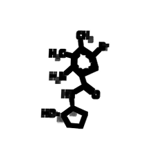 Cc1c(Br)cc(C(=O)N[C@H]2CCC[C@@H]2O)c(N)c1C